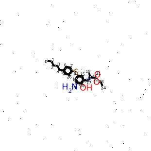 CCCCCc1ccc(Sc2cc(N)c(O)c(/C=C(\C)C(=O)OCC)c2)cc1